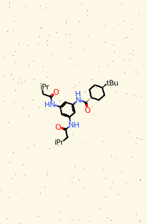 CC(C)CC(=O)Nc1cc(NC(=O)CC(C)C)cc(NC(=O)[C@H]2CC[C@H](C(C)(C)C)CC2)c1